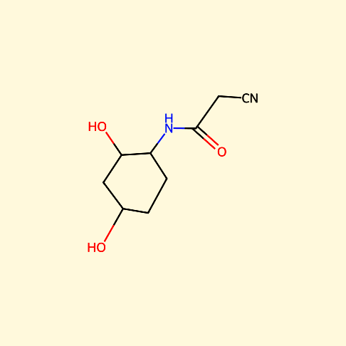 N#CCC(=O)NC1CCC(O)CC1O